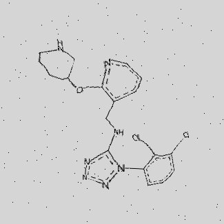 Clc1cccc(-n2nnnc2NCc2cccnc2OC2CCNC2)c1Cl